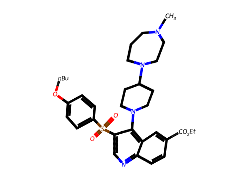 CCCCOc1ccc(S(=O)(=O)c2cnc3ccc(C(=O)OCC)cc3c2N2CCC(N3CCCN(C)CC3)CC2)cc1